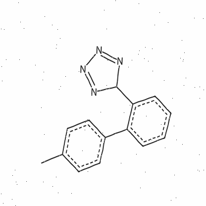 Cc1ccc(-c2ccccc2C2N=NN=N2)cc1